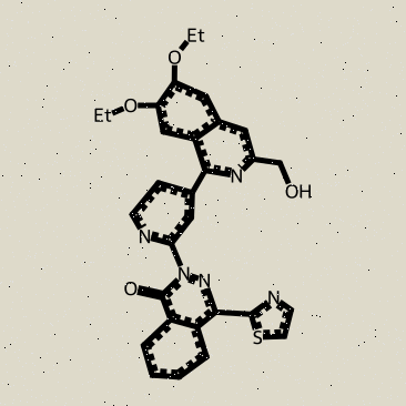 CCOc1cc2cc(CO)nc(-c3ccnc(-n4nc(-c5nccs5)c5ccccc5c4=O)c3)c2cc1OCC